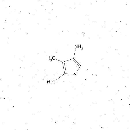 Cc1scc(N)c1C